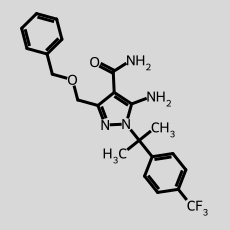 CC(C)(c1ccc(C(F)(F)F)cc1)n1nc(COCc2ccccc2)c(C(N)=O)c1N